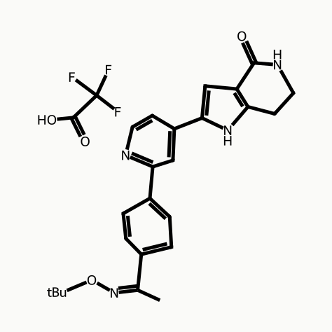 C/C(=N/OC(C)(C)C)c1ccc(-c2cc(-c3cc4c([nH]3)CCNC4=O)ccn2)cc1.O=C(O)C(F)(F)F